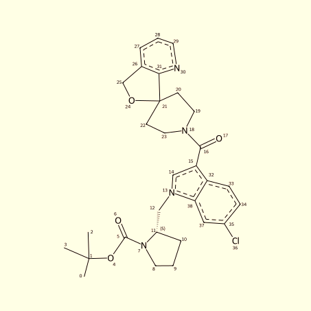 CC(C)(C)OC(=O)N1CCC[C@H]1Cn1cc(C(=O)N2CCC3(CC2)OCc2cccnc23)c2ccc(Cl)cc21